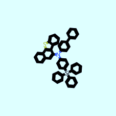 c1ccc(-c2ccc(N(c3ccc([Si](c4ccccc4)(c4ccccc4)c4ccccc4)cc3)c3cc4ccccc4c4sc5ccccc5c34)cc2)cc1